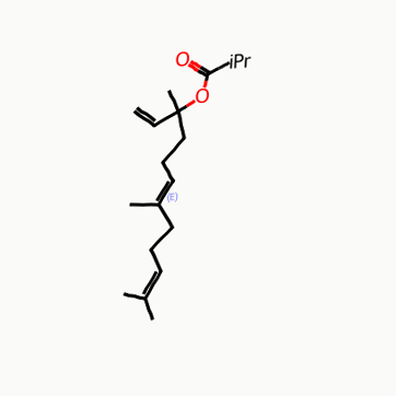 C=CC(C)(CC/C=C(\C)CCC=C(C)C)OC(=O)C(C)C